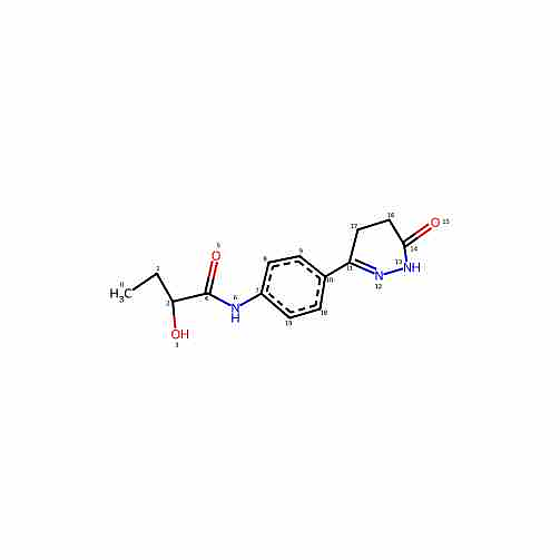 CCC(O)C(=O)Nc1ccc(C2=NNC(=O)CC2)cc1